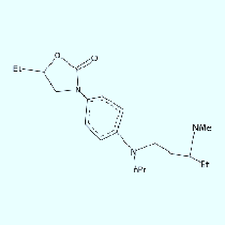 CCCN(CCC(CC)NC)c1ccc(N2CC(CC)OC2=O)cc1